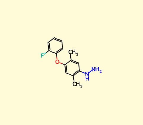 Cc1cc(Oc2ccccc2F)c(C)cc1NN